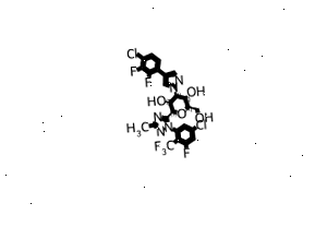 Cc1nc([C@@H]2O[C@H](CO)[C@H](O)[C@H](n3cc(-c4ccc(Cl)c(F)c4F)cn3)[C@H]2O)n(-c2cc(Cl)cc(F)c2C(F)(F)F)n1